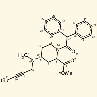 COC(=O)C1C[C@H](N(C)CC#CC(C)(C)C)CCN1C(=O)C(c1ccccc1)c1ccccc1